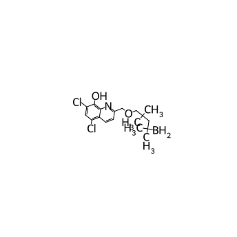 BC(C)(C)CC(C)(C)COCc1ccc2c(Cl)cc(Cl)c(O)c2n1